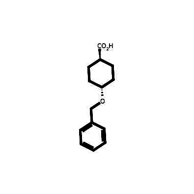 O=C(O)[C@H]1CC[C@H](OCc2ccccc2)CC1